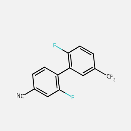 N#Cc1ccc(-c2cc(C(F)(F)F)ccc2F)c(F)c1